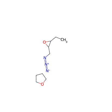 C1CCOC1.CCC1OC1CN=[N+]=[N-]